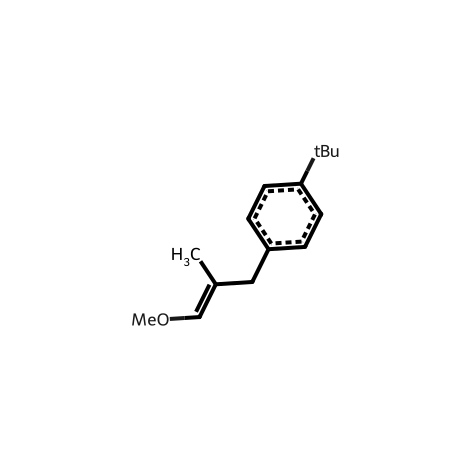 CO/C=C(\C)Cc1ccc(C(C)(C)C)cc1